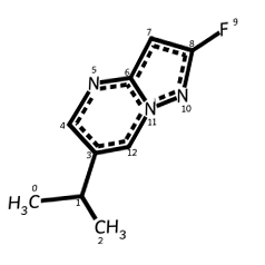 CC(C)c1cnc2cc(F)nn2c1